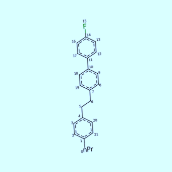 CCCc1ccc(CCc2ccc(-c3ccc(F)cc3)cc2)cc1